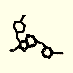 COc1cccc(Sc2ccc3c(c2)nc(C(C)(C)C)n3CC2CCN(C(C)=O)CC2)c1